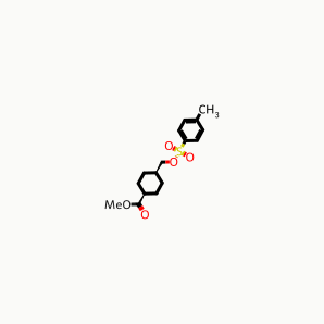 COC(=O)[C@H]1CC[C@@H](COS(=O)(=O)c2ccc(C)cc2)CC1